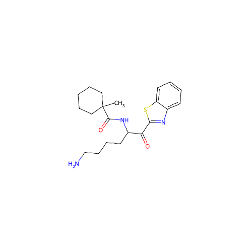 CC1(C(=O)NC(CCCCN)C(=O)c2nc3ccccc3s2)CCCCC1